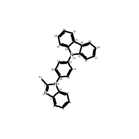 Ic1nc2ccccc2n1-c1ccc(-n2c3ccccc3c3ccccc32)cc1